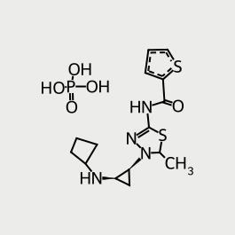 CC1SC(NC(=O)c2cccs2)=NN1[C@H]1C[C@H]1NC1CCC1.O=P(O)(O)O